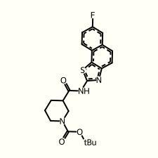 CC(C)(C)OC(=O)N1CCCC(C(=O)Nc2nc3ccc4cc(F)ccc4c3s2)C1